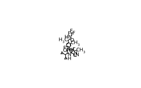 Cc1cc(NC(=O)C(NC(=O)c2ccnn2C(C)C)C(C2CC2)C2CC2)c(F)cc1C(C)C(=O)NCC(F)(F)F